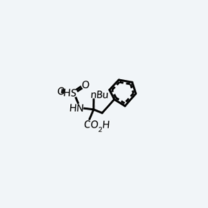 CCCCC(Cc1ccccc1)(N[SH](=O)=O)C(=O)O